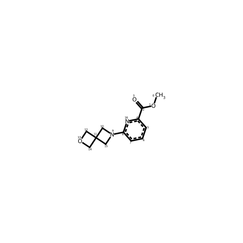 COC(=O)c1cccc(N2CC3(COC3)C2)n1